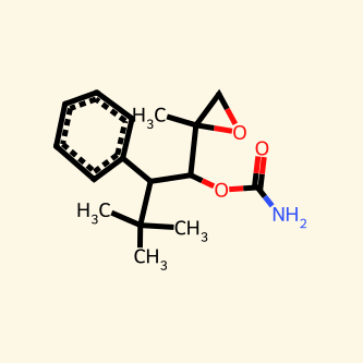 CC(C)(C)C(c1ccccc1)C(OC(N)=O)C1(C)CO1